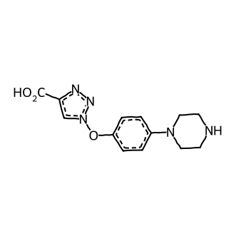 O=C(O)c1cn(Oc2ccc(N3CCNCC3)cc2)nn1